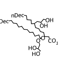 CCCCCCCCCCCCCCC(CCCCCCC(=O)O)CC(O)CO.CCCCCCCCCCCCCCCCCCCCCC(=O)OCC(O)CO